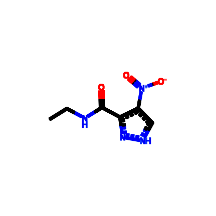 CCNC(=O)c1n[nH]cc1[N+](=O)[O-]